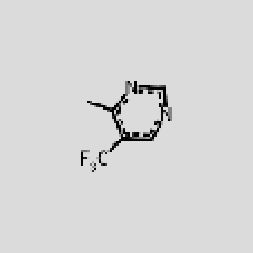 Cc1ncncc1C(F)(F)F